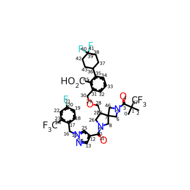 CC(C)(C(=O)N1CC2(CN(C(=O)c3cnn(Cc4ccc(F)cc4C(F)(F)F)c3)C[C@H]2COCc2cccc(C3CCC(F)(F)CC3)c2C(=O)O)C1)C(F)(F)F